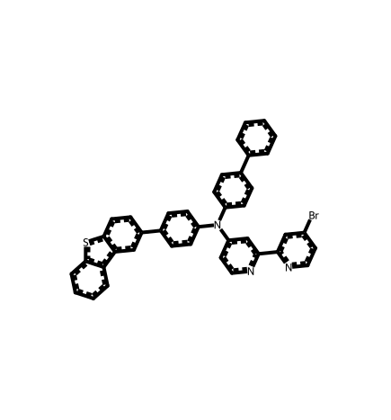 Brc1ccnc(-c2cc(N(c3ccc(-c4ccccc4)cc3)c3ccc(-c4ccc5sc6ccccc6c5c4)cc3)ccn2)c1